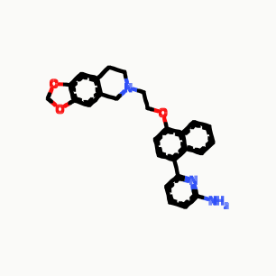 Nc1cccc(-c2ccc(OCCN3CCc4cc5c(cc4C3)OCO5)c3ccccc23)n1